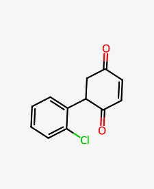 O=C1C=CC(=O)C(c2ccccc2Cl)C1